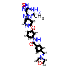 CCn1c(-c2nonc2N)nc2cnc(Oc3cccc(NC(=O)c4ccc(CN5CCOCC5)cc4)c3)cc21